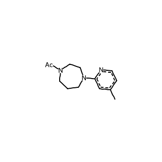 CC(=O)N1CCCN(c2cc(C)ccn2)CC1